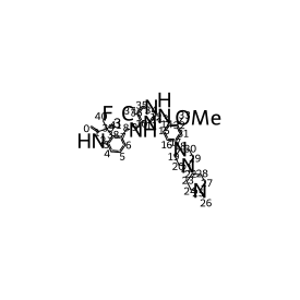 C=C1Nc2cccc(CNc3nc(Nc4ccc(N5CCN(C6CCN(C)CC6)CC5)cc4OC)ncc3C(F)(F)F)c2C1(C)C